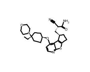 CC[C@]1(N2CCOCC2)CC[C@H](Oc2ccnc3sc4c(c23)[C@@H](C[C@H](C#N)C(N)=O)CC4)CC1